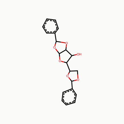 OC1C(C2COC(c3ccccc3)O2)OC2OC(c3ccccc3)OC21